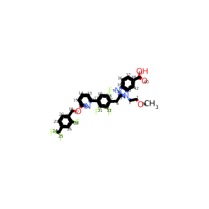 COCCn1c(Cc2c(F)cc(-c3cccc(OCc4ccc(C(F)F)cc4F)n3)c(F)c2F)nc2ccc(C(=O)O)cc21